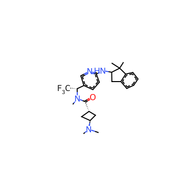 CN(C(=O)[C@H]1C[C@H](N(C)C)C1)[C@@H](c1ccc(NC2Cc3ccccc3C2(C)C)nc1)C(F)(F)F